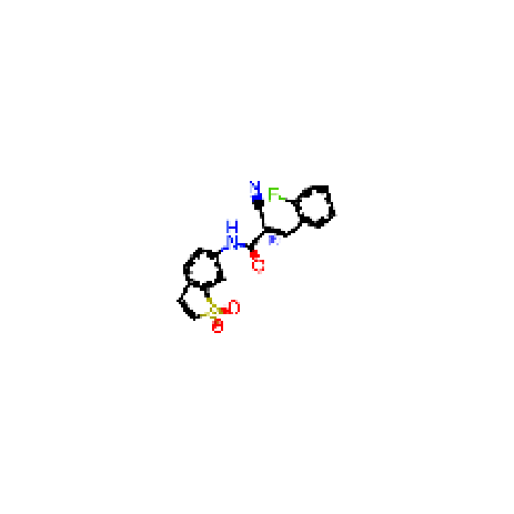 N#C/C(=C\c1ccccc1F)C(=O)Nc1ccc2c(c1)S(=O)(=O)C=C2